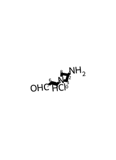 Cl.NC1CN(C=CC=O)C1